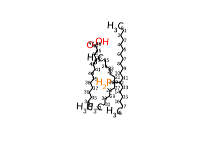 CCCCCCCCCCCCC(CCCCCC)C(P)(CCCCCC)CCCCCC.CCCCCCCCCCCCCC(=O)O